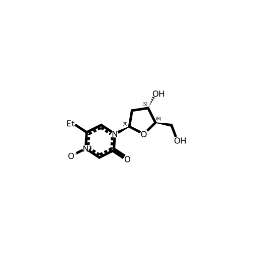 CCc1cn([C@H]2C[C@H](O)[C@@H](CO)O2)c(=O)c[n+]1[O-]